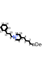 CCCCCCCCCCCCCCc1cc[n+](CCCc2ccccc2)cc1